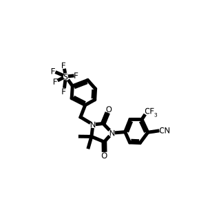 CC1(C)C(=O)N(c2ccc(C#N)c(C(F)(F)F)c2)C(=O)N1Cc1cccc(S(F)(F)(F)(F)F)c1